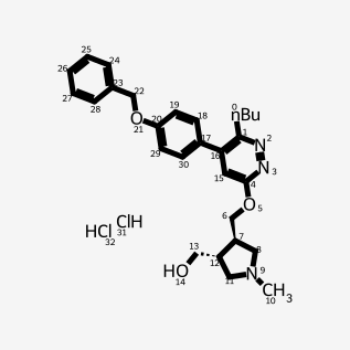 CCCCc1nnc(OC[C@H]2CN(C)C[C@@H]2CO)cc1-c1ccc(OCc2ccccc2)cc1.Cl.Cl